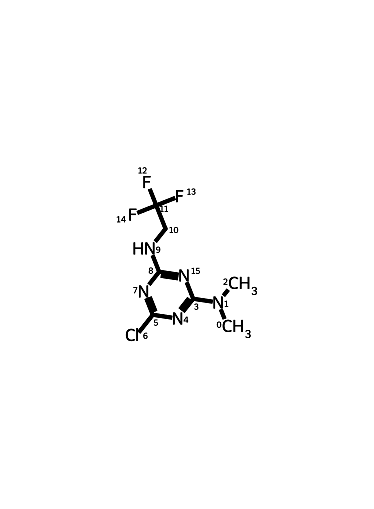 CN(C)c1nc(Cl)nc(NCC(F)(F)F)n1